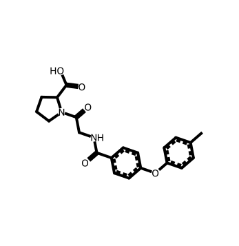 Cc1ccc(Oc2ccc(C(=O)NCC(=O)N3CCCC3C(=O)O)cc2)cc1